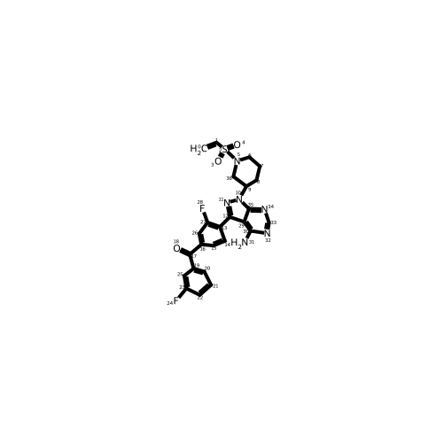 C=CS(=O)(=O)N1CCCC(n2nc(-c3ccc(C(=O)c4cccc(F)c4)cc3F)c3c(N)ncnc32)C1